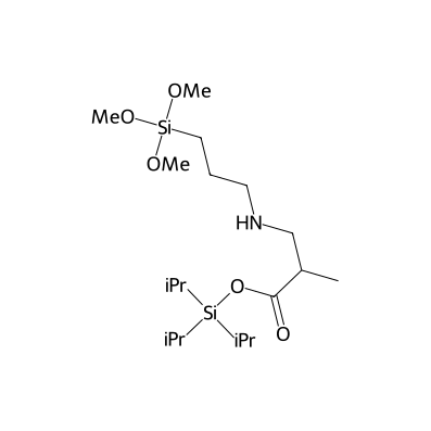 CO[Si](CCCNCC(C)C(=O)O[Si](C(C)C)(C(C)C)C(C)C)(OC)OC